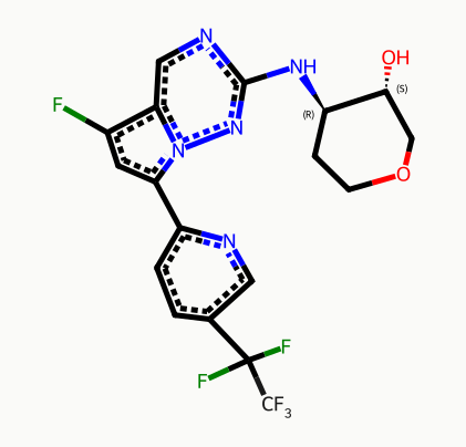 O[C@@H]1COCC[C@H]1Nc1ncc2c(F)cc(-c3ccc(C(F)(F)C(F)(F)F)cn3)n2n1